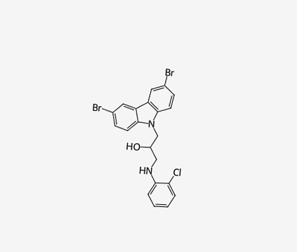 OC(CNc1ccccc1Cl)Cn1c2ccc(Br)cc2c2cc(Br)ccc21